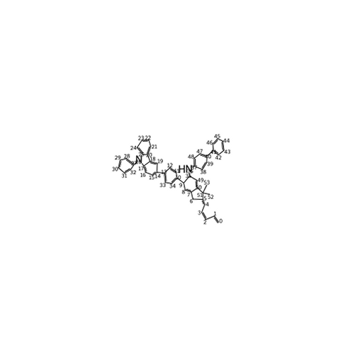 C=C/C=C\C=C1/CC2=CC(c3ccc(-c4ccc5c(c4)c4ccccc4n5-c4ccccc4)cc3)C(Nc3ccc(-c4ccccc4)cc3)C=C2C1(C)C